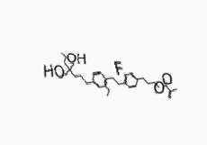 C=C(C)C(=O)OCCCc1ccc(CCc2ccc(CCCC(CO)(CO)CCC)cc2CC)c(F)c1